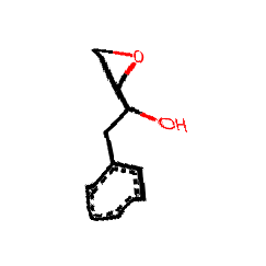 OC(Cc1ccccc1)C1CO1